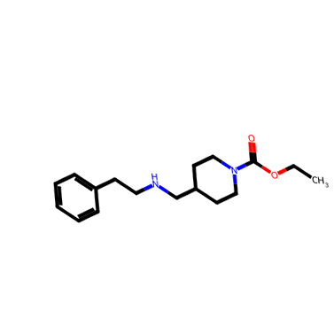 CCOC(=O)N1CCC(CNCCc2ccccc2)CC1